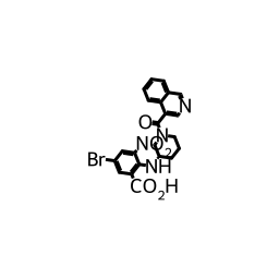 O=C(O)c1cc(Br)cc([N+](=O)[O-])c1N[C@@H]1CCCN(C(=O)c2cncc3ccccc23)C1